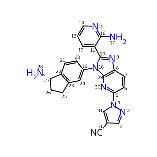 N#Cc1cnn(-c2ccc3nc(-c4cccnc4N)n(-c4ccc5c(c4)CC[C@@H]5N)c3n2)c1